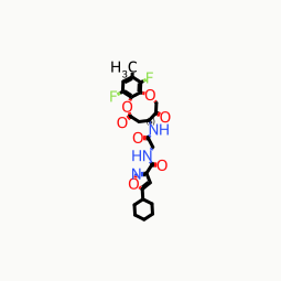 Cc1cc(F)c2c(c1F)OCC(=O)[C@@H](NC(=O)CNC(=O)c1cc(C3CCCCC3)on1)CC(=O)O2